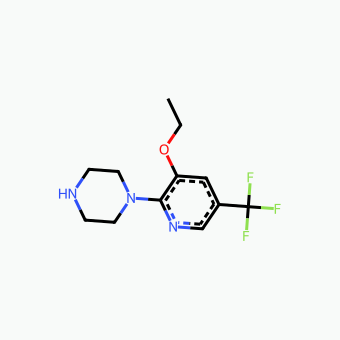 CCOc1cc(C(F)(F)F)cnc1N1CCNCC1